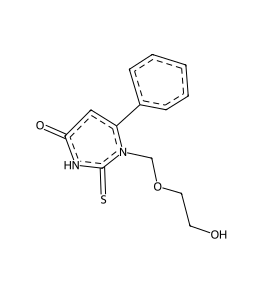 O=c1cc(-c2ccccc2)n(COCCO)c(=S)[nH]1